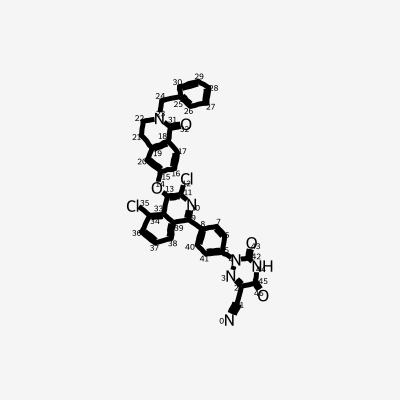 N#Cc1nn(-c2ccc(-c3nc(Cl)c(Oc4ccc5c(c4)CCN(Cc4ccccc4)C5=O)c4c(Cl)cccc34)cc2)c(=O)[nH]c1=O